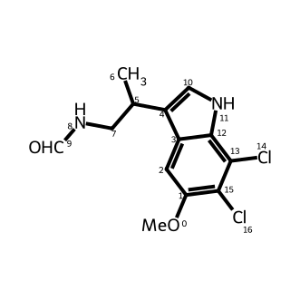 COc1cc2c(C(C)CNC=O)c[nH]c2c(Cl)c1Cl